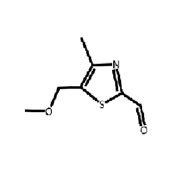 COCc1sc(C=O)nc1C